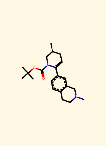 C[C@H]1CC=C(c2ccc3c(c2)CN(C)CC3)N(C(=O)OC(C)(C)C)C1